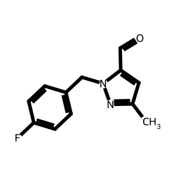 Cc1cc(C=O)n(Cc2ccc(F)cc2)n1